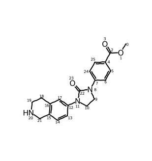 COC(=O)c1ccc(N2CCN(c3ccc4c(c3)CCNC4)C2=O)cc1